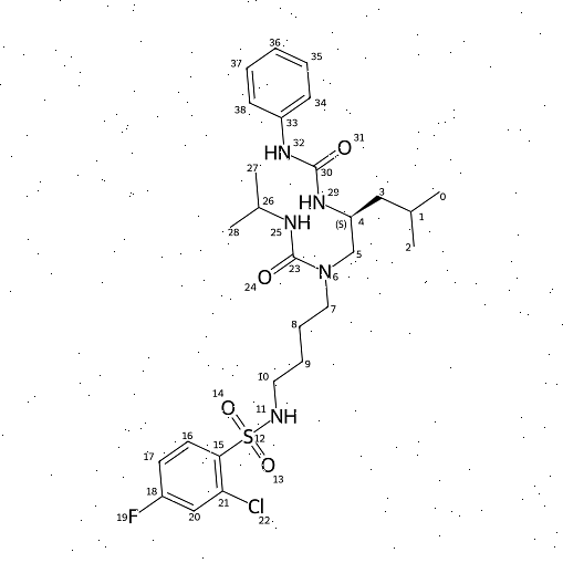 CC(C)C[C@@H](CN(CCCCNS(=O)(=O)c1ccc(F)cc1Cl)C(=O)NC(C)C)NC(=O)Nc1ccccc1